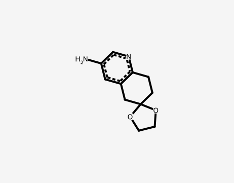 Nc1cnc2c(c1)CC1(CC2)OCCO1